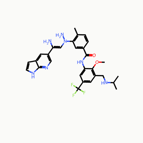 COc1c(CNC(C)C)cc(C(F)(F)F)cc1NC(=O)c1ccc(C)c(N(N)/C=C(\N)c2cnc3[nH]ccc3c2)c1